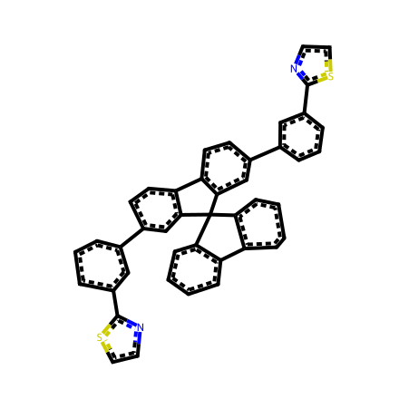 c1cc(-c2ccc3c(c2)C2(c4ccccc4-c4ccccc42)c2cc(-c4cccc(-c5nccs5)c4)ccc2-3)cc(-c2nccs2)c1